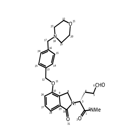 CNC(=O)[C@@H](CCC=O)N1Cc2c(OCc3ccc(CN4CCOCC4)cc3)cccc2C1=O